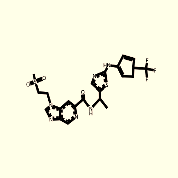 CC(NC(=O)c1cc2c(cn1)ncn2CCS(C)(=O)=O)c1cnc(NC2=CCC(C(F)(F)F)C=C2)s1